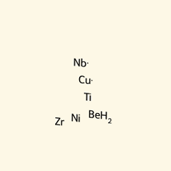 [BeH2].[Cu].[Nb].[Ni].[Ti].[Zr]